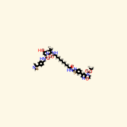 Cc1ncsc1-c1ccc(CNC(=O)[C@@H]2C[C@@H](O)CN2C(=O)[C@@H](NC(=O)CCCCCCCCCCC(=O)Nc2nc3ccc(-c4cnc5c(c4)N(C(=O)OC(C)C)CCO5)cc3s2)C(C)(C)C)cc1